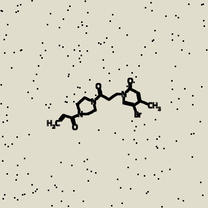 C=CC(=O)N1CCN(C(=O)CCn2cc(Br)c(C)cc2=O)CC1